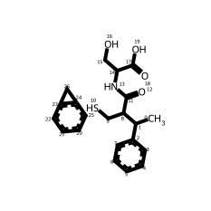 CC(c1ccccc1)C(CS)C(=O)NC(CO)C(=O)O.c1ccc2c(c1)C2